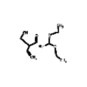 C=CC(C=O)CC.CCOC(C)OCC